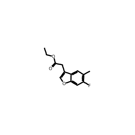 CCOC(=O)Cc1coc2cc(F)c(C)cc12